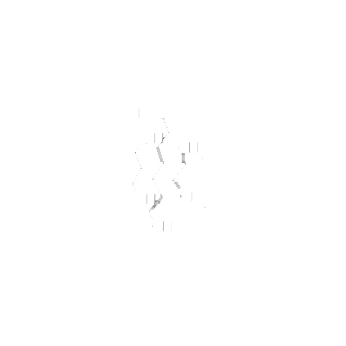 C=CC=C.CC=CCC=CCC.CCCCO